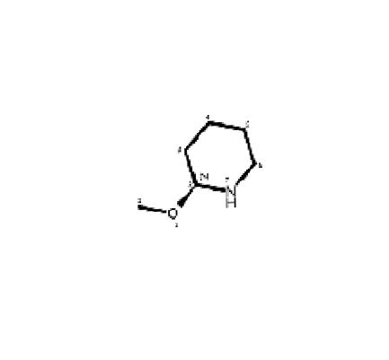 CO[C@H]1CCCCN1